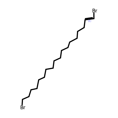 Br/C=C/CCCCCCCCCCCCCCCCBr